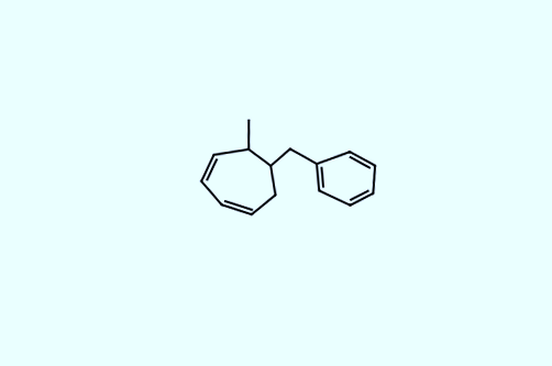 CC1C=CC=CCC1Cc1ccccc1